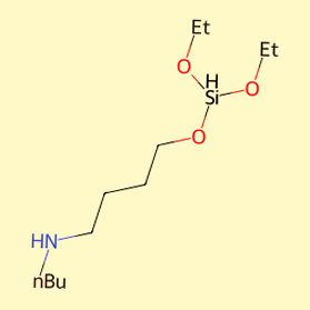 CCCCNCCCCO[SiH](OCC)OCC